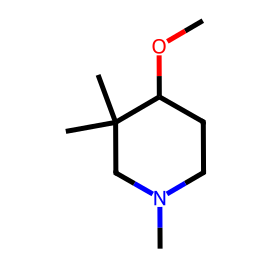 COC1CCN(C)CC1(C)C